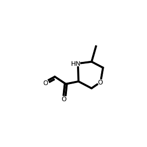 CC1COCC(C(=O)C=O)N1